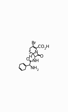 NC(C(=O)N[C@@H]1C(=O)N2C(C(=O)O)=C(Br)CS[C@@H]12)C1=CCC=CC1